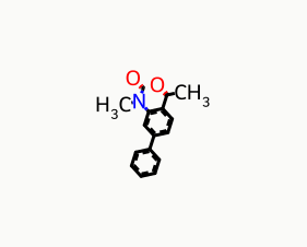 CC(=O)c1ccc(-c2ccccc2)cc1N(C)C=O